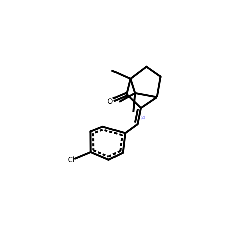 CC12CCC(/C(=C/c3ccc(Cl)cc3)C1=O)C2(C)C